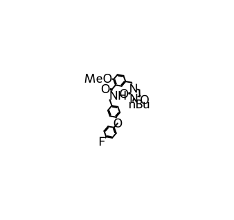 CCCCN1C(=O)CN(Cc2ccc(OC)c(C(=O)NCc3ccc(Oc4ccc(F)cc4)cc3)c2)C1=O